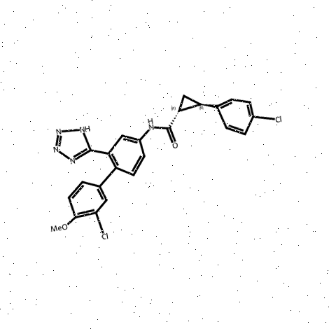 COc1ccc(-c2ccc(NC(=O)[C@@H]3C[C@H]3c3ccc(Cl)cc3)cc2-c2nnn[nH]2)cc1Cl